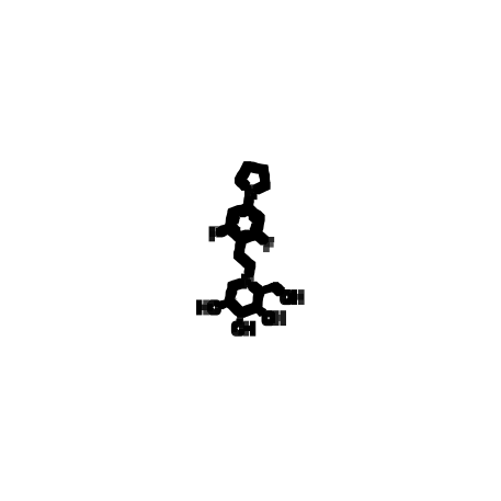 OC[C@H]1[C@@H](O)[C@H](O)[C@@H](O)CN1CCc1c(F)cc(N2CCCC2)cc1F